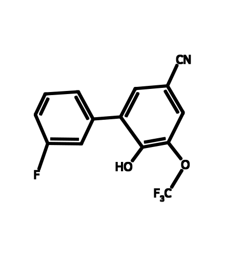 N#Cc1cc(OC(F)(F)F)c(O)c(-c2cccc(F)c2)c1